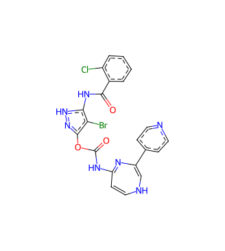 O=C(NC1=NC(c2ccncc2)=CNC=C1)Oc1n[nH]c(NC(=O)c2ccccc2Cl)c1Br